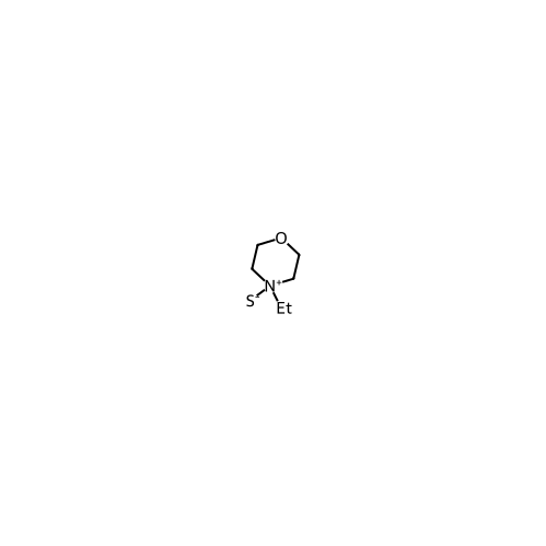 [CH2]C[N+]1([S-])CCOCC1